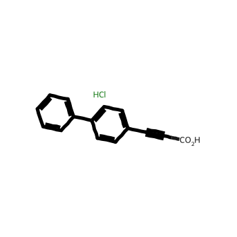 Cl.O=C(O)C#Cc1ccc(-c2ccccc2)cc1